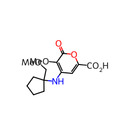 COCC1(Nc2cc(C(=O)O)oc(=O)c2OC)CCCC1